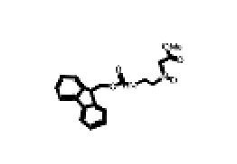 CCN(CCNC(=O)OCC1c2ccccc2-c2ccccc21)CC(=O)OC